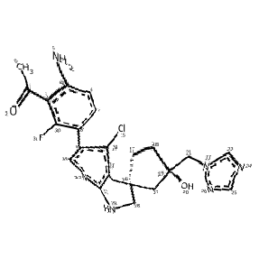 CC(=O)c1c(N)ccc(-c2cnc3c(c2Cl)[C@]2(CC[C@](O)(Cn4cncn4)C2)CN3)c1F